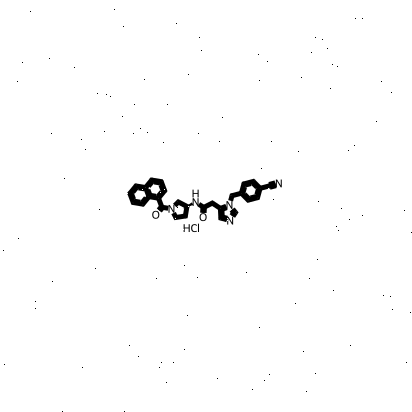 Cl.N#Cc1ccc(Cn2cncc2CC(=O)N[C@H]2CCN(C(=O)c3cccc4ccccc34)C2)cc1